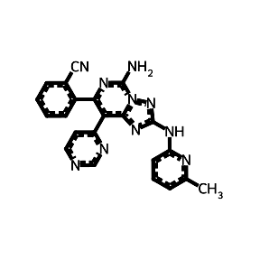 Cc1cccc(Nc2nc3c(-c4ccncn4)c(-c4ccccc4C#N)nc(N)n3n2)n1